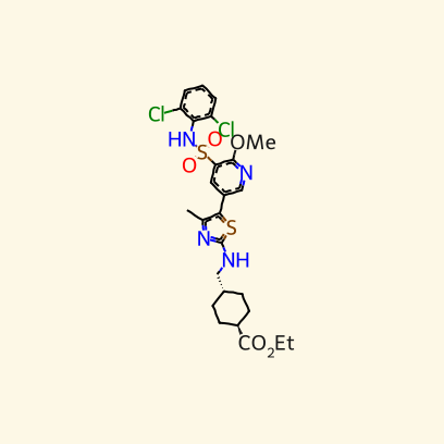 CCOC(=O)[C@H]1CC[C@H](CNc2nc(C)c(-c3cnc(OC)c(S(=O)(=O)Nc4c(Cl)cccc4Cl)c3)s2)CC1